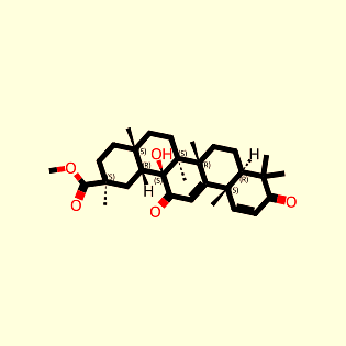 COC(=O)[C@@]1(C)CC[C@]2(C)CC[C@@]3(C)[C@]4(C)CC[C@H]5C(C)(C)C(=O)C=C[C@]5(C)C4=CC(=O)[C@]3(O)[C@@H]2C1